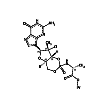 CC(C)OC(=O)[C@@H](C)NP1(=O)OC[C@H]2O[C@@H](n3cnc4c(=O)[nH]c(N)nc43)[C@](C)(Cl)[C@@H]2O1